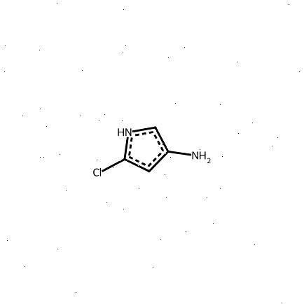 Nc1c[nH]c(Cl)c1